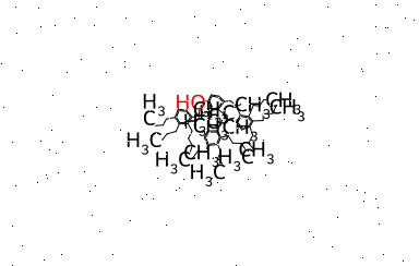 CCCCc1ccc(C(C)(C)Cc2ccc(O)c(CC(C)(C)c3ccc(CCCC)c(CCCC)c3CCCC)c2CC(C)(C)c2ccc(CCCC)c(CCCC)c2CCCC)c(CCCC)c1CCCC